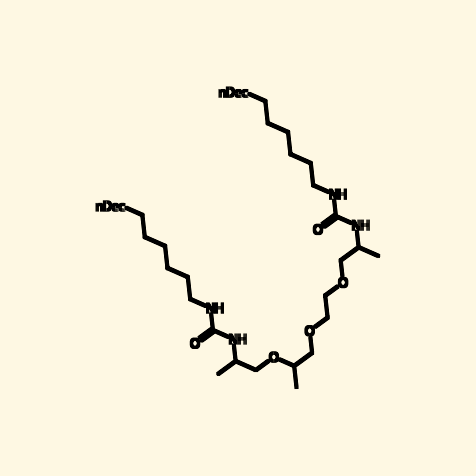 CCCCCCCCCCCCCCCCNC(=O)NC(C)COCCOCC(C)OCC(C)NC(=O)NCCCCCCCCCCCCCCCC